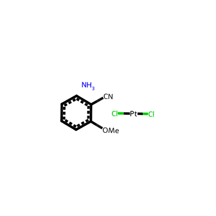 COc1ccccc1C#N.N.[Cl][Pt][Cl]